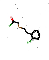 O=C(Cl)CSCCc1ccccc1Br